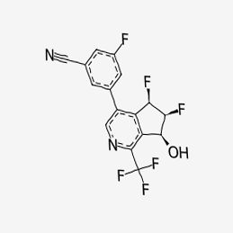 N#Cc1cc(F)cc(-c2cnc(C(F)(F)F)c3c2[C@@H](F)[C@@H](F)[C@H]3O)c1